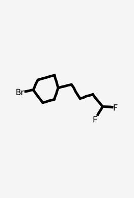 FC(F)CCCC1CCC(Br)CC1